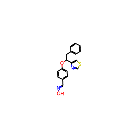 ON=Cc1ccc(OC(Cc2ccccc2)c2cscn2)cc1